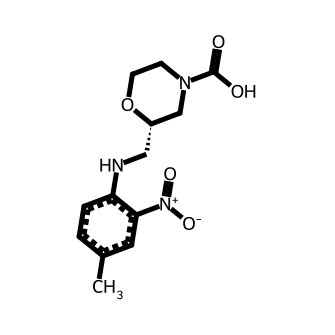 Cc1ccc(NC[C@H]2CN(C(=O)O)CCO2)c([N+](=O)[O-])c1